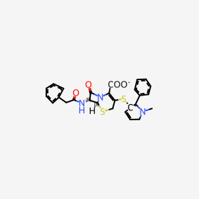 CN1CC=C[C+](SC2=C(C(=O)[O-])N3C(=O)[C@@H](NC(=O)Cc4ccccc4)[C@@H]3SC2)C1c1ccccc1